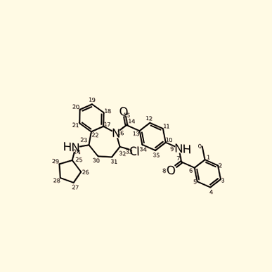 Cc1ccccc1C(=O)Nc1ccc(C(=O)N2c3ccccc3C(NC3CCCC3)CCC2Cl)cc1